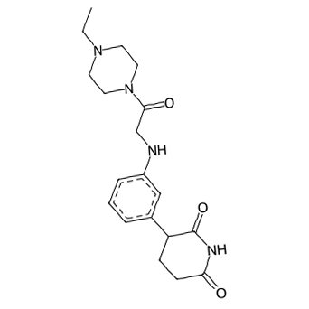 CCN1CCN(C(=O)CNc2cccc(C3CCC(=O)NC3=O)c2)CC1